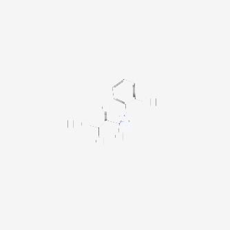 C=C(/C(C)=N\c1ccccc1C)C(C)C